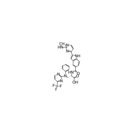 CNc1nccc(-c2cc3cc(C(=O)N[C@@H](CN(c4ccccc4)c4nccc(C(F)(F)F)n4)C(=O)O)ccc3[nH]2)n1